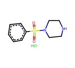 Cl.O=S(=O)(c1ccccc1)N1CCNCC1